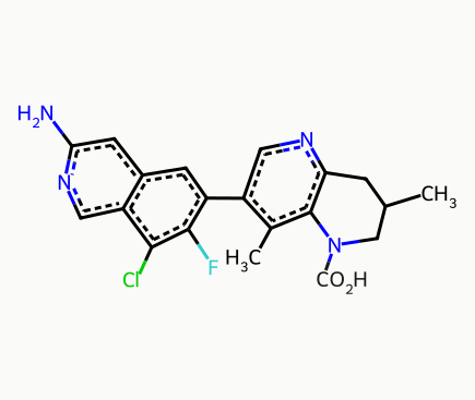 Cc1c(-c2cc3cc(N)ncc3c(Cl)c2F)cnc2c1N(C(=O)O)CC(C)C2